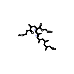 CCC(C)CC(C)CC(C)CC(C)/C=C(C)/C=C(/CC(C)C(=O)OCOC(C)=O)C(=O)OCOC(C)=O